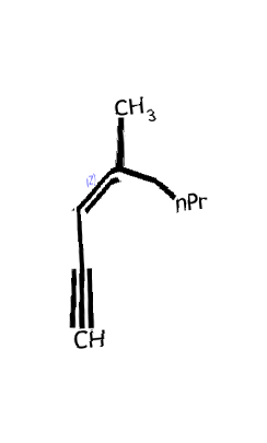 C#C/[C]=C(/C)CCC